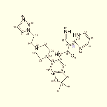 CC1(C)Cc2cc(NC(=O)/C(C=N)=C3\N=CC=CN3)c(N3CCN(CCn4ccnc4)CC3)cc2O1